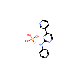 O=P(O)(O)O.c1ccc(Nc2nccc(-c3cccnc3)n2)cc1